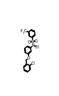 CCN(c1cccc(OCc2ccccc2Cl)c1)S(=O)(=O)c1cccc(C(F)(F)F)c1